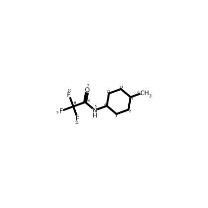 CC1CCC(NC(=O)C(F)(F)F)CC1